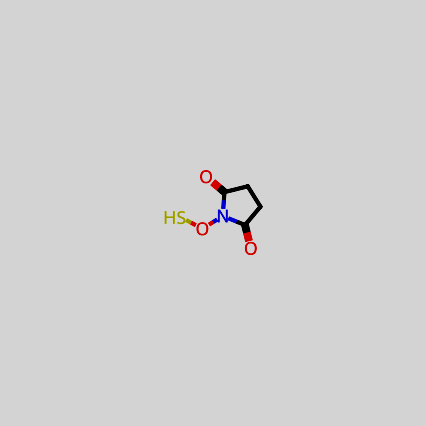 O=C1CCC(=O)N1OS